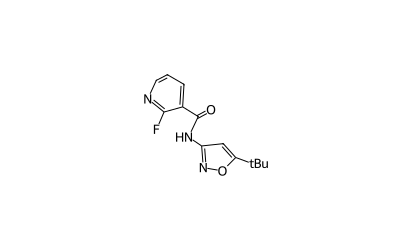 CC(C)(C)c1cc(NC(=O)c2cccnc2F)no1